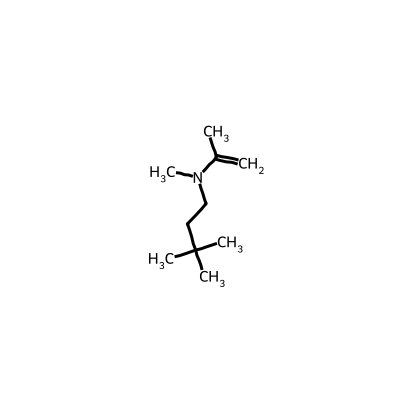 C=C(C)N(C)CCC(C)(C)C